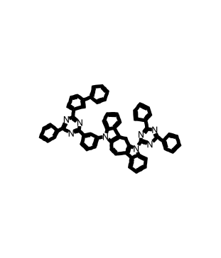 C1=Cc2c(c3ccccc3n2-c2cccc(-c3nc(-c4ccccc4)nc(-c4cccc(-c5ccccc5)c4)n3)c2)Cc2c1c1ccccc1n2-c1nc(-c2ccccc2)nc(-c2ccccc2)n1